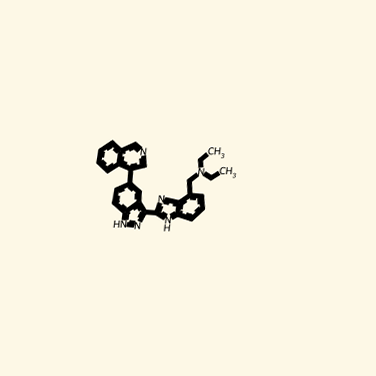 CCN(CC)Cc1cccc2[nH]c(-c3n[nH]c4ccc(-c5cncc6ccccc56)cc34)nc12